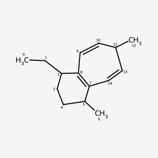 CCC1CCC(C)C2=C1C=CC(C)C=C2